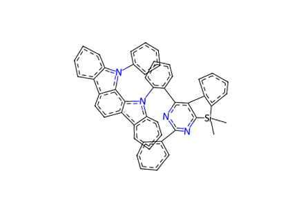 C[Si]1(C)c2ccccc2-c2c(-c3ccccc3-n3c4ccccc4c4ccc5c6ccccc6n(-c6ccccc6)c5c43)nc(-c3ccccc3)nc21